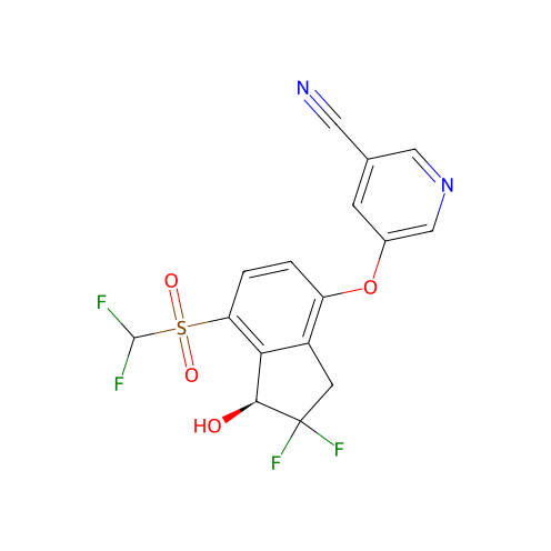 N#Cc1cncc(Oc2ccc(S(=O)(=O)C(F)F)c3c2CC(F)(F)[C@H]3O)c1